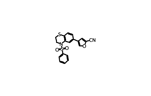 N#Cc1cc(-c2ccc3c(c2)N(S(=O)(=O)c2ccccc2)CCS3)co1